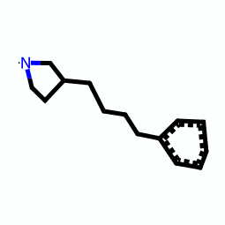 c1ccc(CCCCC2CC[N]C2)cc1